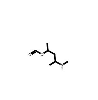 CNC(C)CC(C)OC=O